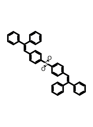 O=S(=O)(c1ccc(C=C(c2ccccc2)c2ccccc2)cc1)c1ccc(C=C(c2ccccc2)c2ccccc2)cc1